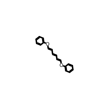 C(=CC=COc1ccccc1)C=COc1ccccc1